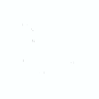 CCc1cc(C(C)C)c2nn(C)cc2c1